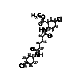 COC(=O)c1cc(Cl)ccc1NC(=O)CCCCC(=O)Nc1ccc(Cl)cc1